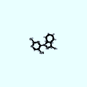 N#Cc1cnc(Cl)nc1-n1nc(F)c2ccccc21